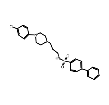 O=S(=O)(NCCCN1CCN(c2ccc(Cl)cc2)CC1)c1ccc(-c2ccccc2)cc1